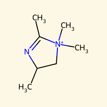 CC1=NC(C)C[N+]1(C)C